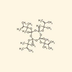 C=C(C)[Si](C)(C)OP1(=O)OP(=O)(O[Si](C)(C)C(=C)C)OP(=O)(O[Si](C)(C)C(=C)C)OP(=O)(O[Si](C)(C)C(=C)C)O1